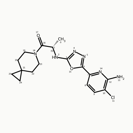 C[C@H](Nc1nnc(-c2ccc(Cl)c(N)n2)o1)C(=O)N1CCC2(CC1)CC2